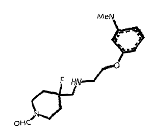 CNc1cccc(OCCNCC2(F)CCN(C=O)CC2)c1